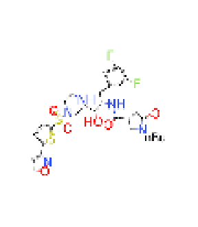 CCCCN1CC(C(=O)NC(Cc2cc(F)cc(F)c2)[C@H](O)[C@H]2CN(S(=O)(=O)c3ccc(-c4ccon4)s3)CCN2)CC1=O